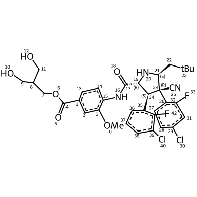 COc1cc(C(=O)OCC(CO)CO)ccc1NC(=O)[C@@H]1N[C@@H](CC(C)(C)C)[C@](C#N)(c2ccc(Cl)cc2F)[C@H]1c1cccc(Cl)c1F